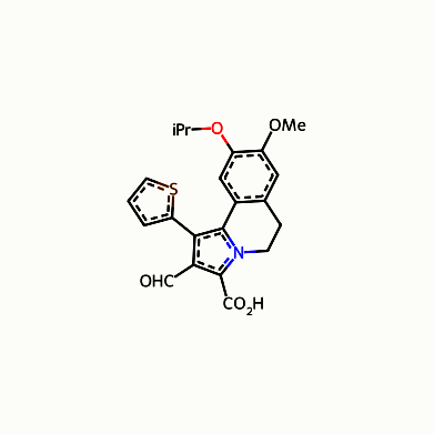 COc1cc2c(cc1OC(C)C)-c1c(-c3cccs3)c(C=O)c(C(=O)O)n1CC2